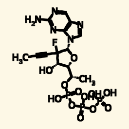 CC#CC1(F)[C@@H](O)[C@@H]([C@H](C)OP(=O)(O)OP(=O)(O)OP(=O)(O)O)O[C@H]1n1cnc2cnc(N)nc21